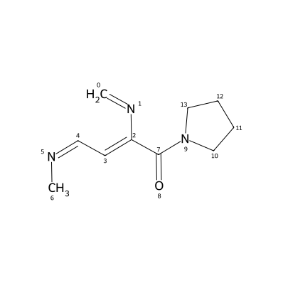 C=N/C(=C\C=N/C)C(=O)N1CCCC1